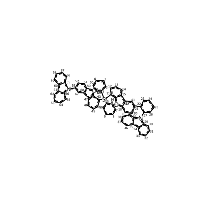 c1ccc([Si](c2ccccc2)(c2cccc3c2oc2ccc(-c4ccccc4-n4c5ccccc5c5ccccc54)cc23)c2cccc3c2oc2ccc(-n4c5ccccc5c5ccccc54)cc23)cc1